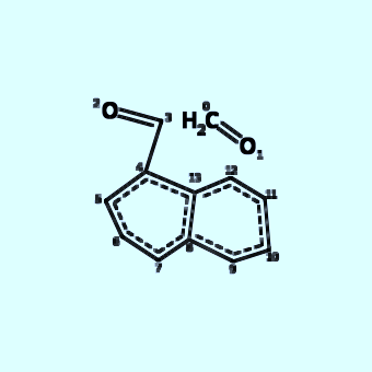 C=O.O=Cc1cccc2ccccc12